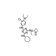 CCC(Nc1nc(Nc2ccc(N(CC)CC)c(Cl)c2)nc(NC2CCCCCC2)n1)C1CCCN1